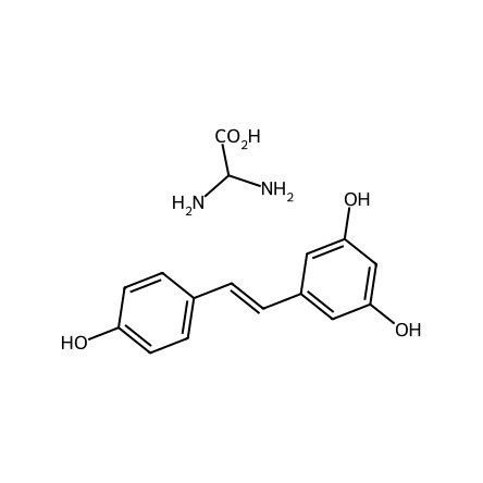 NC(N)C(=O)O.Oc1ccc(C=Cc2cc(O)cc(O)c2)cc1